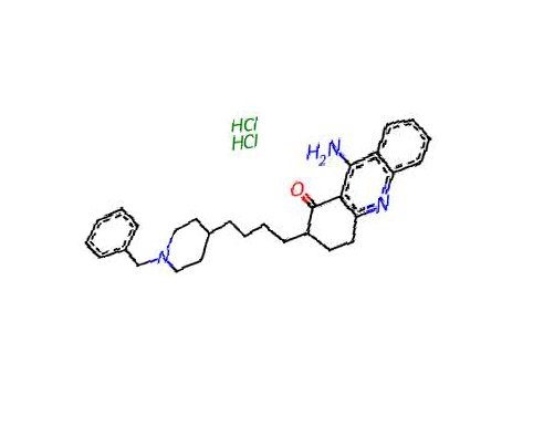 Cl.Cl.Nc1c2c(nc3ccccc13)CCC(CCCCC1CCN(Cc3ccccc3)CC1)C2=O